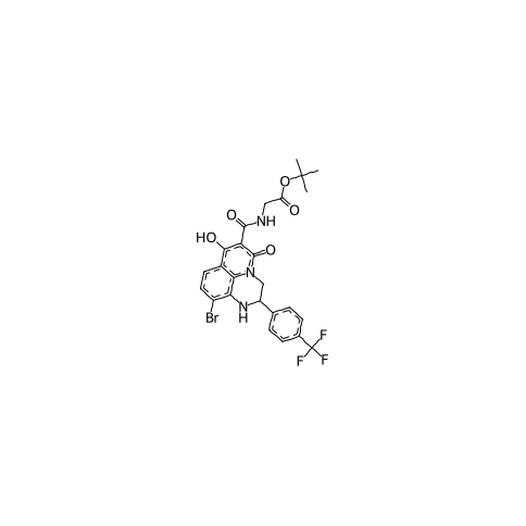 CC(C)(C)OC(=O)CNC(=O)c1c(O)c2ccc(Br)c3c2n(c1=O)CC(c1ccc(C(F)(F)F)cc1)N3